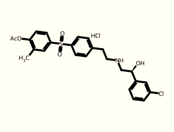 CC(=O)Oc1ccc(S(=O)(=O)c2ccc(CCNC[C@@H](O)c3cccc(Cl)c3)cc2)cc1C.Cl